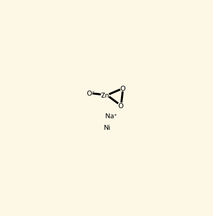 [Na+].[Ni].[O-][Zn]1[O][O]1